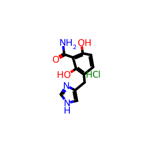 Cl.NC(=O)c1c(O)ccc(Cc2c[nH]cn2)c1O